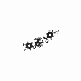 O=C(CN1C[C@H]2C[C@H](Oc3ccc(F)c(F)c3)C[C@H]2C1)c1ccc(O)cc1